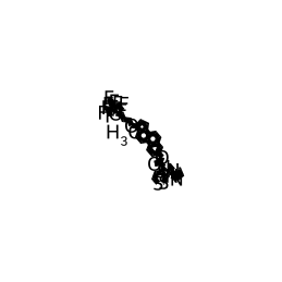 CC12CCC3c4ccc(OC(=O)N(Cn5ccnn5)C5CCSSC5)cc4CCC3C1CCC2OCCCOC(C(F)(F)F)(C(F)(F)F)C(F)(F)F